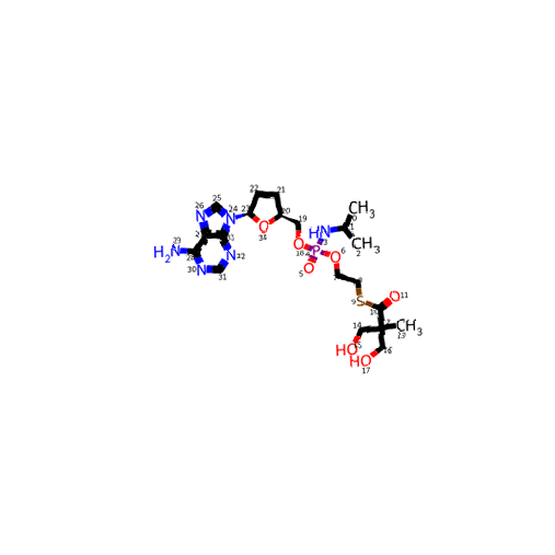 CC(C)NP(=O)(OCCSC(=O)C(C)(CO)CO)OC[C@@H]1CC[C@H](n2cnc3c(N)ncnc32)O1